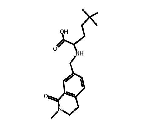 CN1CCc2ccc(CNC(CCC(C)(C)C)C(=O)O)cc2C1=O